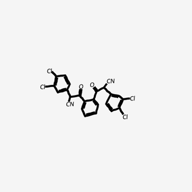 N#CC(C(=O)c1ccccc1C(=O)C(C#N)c1ccc(Cl)c(Cl)c1)c1ccc(Cl)c(Cl)c1